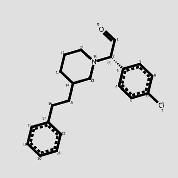 O=C[C@H](c1ccc(Cl)cc1)N1CCCC(CCc2ccccc2)C1